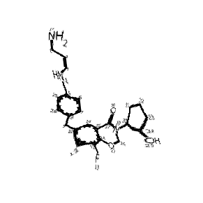 NC/C=C\Nc1ccc(Cc2cc(F)c3c(c2)C(=O)N(C2CCCC2O)CO3)cc1